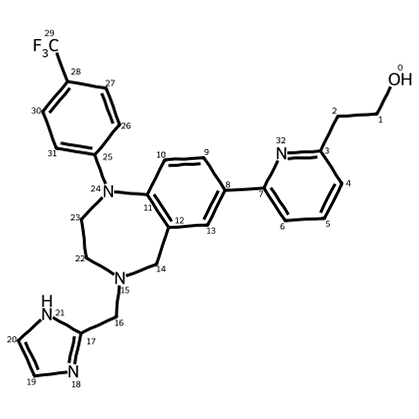 OCCc1cccc(-c2ccc3c(c2)CN(Cc2ncc[nH]2)CCN3c2ccc(C(F)(F)F)cc2)n1